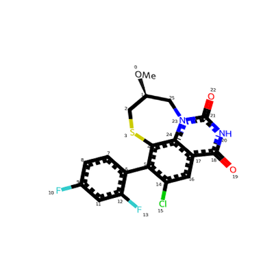 CO[C@@H]1CSc2c(-c3ccc(F)cc3F)c(Cl)cc3c(=O)[nH]c(=O)n(c23)C1